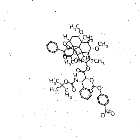 CO[C@H]1C(=O)[C@]2(C)[C@@H](OC)C[C@H]3OC[C@@]3(OC(C)=O)C23[C@H](OC(=O)c2ccccc2)[C@]2(O)C[C@H](OC(=O)[C@H](OC(=O)Oc4ccc([N+](=O)[O-])cc4)[C@@H](NC(=O)OC(C)(C)C)c4ccccc4)C(C)=C1C32C